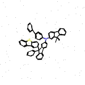 CC1(C)c2ccccc2-c2ccc(N(c3ccc(-c4ccccc4)cc3)c3ccc4c(c3)C(c3ccccc3)(c3ccc5sc6ccccc6c5c3)c3ccccc3-4)cc21